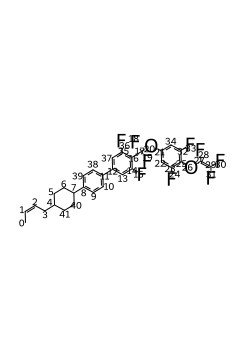 C/C=C\CC1CCC(c2ccc(-c3cc(F)c(C(F)(F)Oc4cc(F)c(OC(F)=C(F)F)c(F)c4)c(F)c3)cc2)CC1